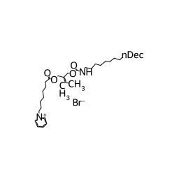 CCCCCCCCCCCCCCCCCCNC(=O)OCC(COC(=O)CCCCCCC[n+]1ccccc1)=C(C)C.[Br-]